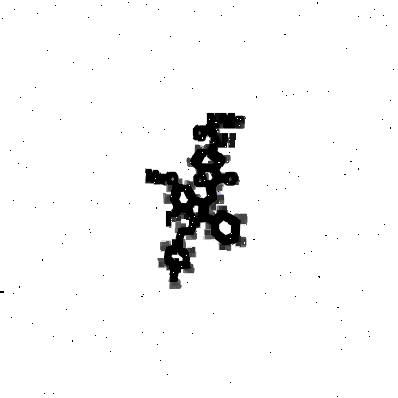 CNC(=O)Nc1ccc2c(c1)C(=O)/C(=C/c1c(C3CCCCC3)n(CCN3CCN(C)CC3)c3c(F)cc(OC)cc13)O2